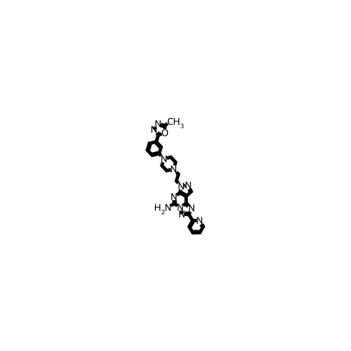 Cc1nnc(-c2cccc(N3CCN(CCn4ncc5c4nc(N)n4nc(-c6ccccn6)nc54)CC3)c2)o1